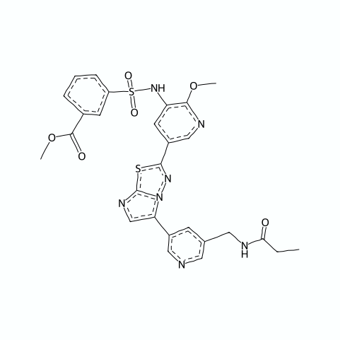 CCC(=O)NCc1cncc(-c2cnc3sc(-c4cnc(OC)c(NS(=O)(=O)c5cccc(C(=O)OC)c5)c4)nn23)c1